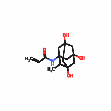 C=CC(=O)NC12CC3(O)CC(O)(CC(O)(C3)C1C)C2